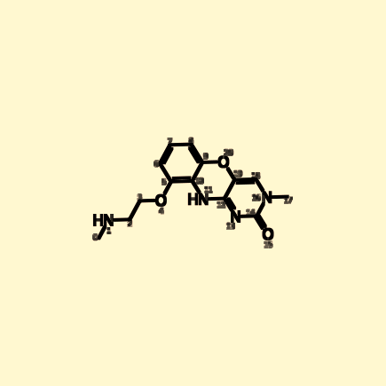 CNCCOc1cccc2c1Nc1nc(=O)n(C)cc1O2